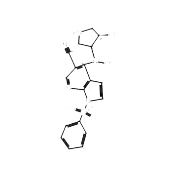 C[C@@H]1CNCC1N(C)c1c(C#N)cnc2c1ccn2S(=O)(=O)c1ccccc1